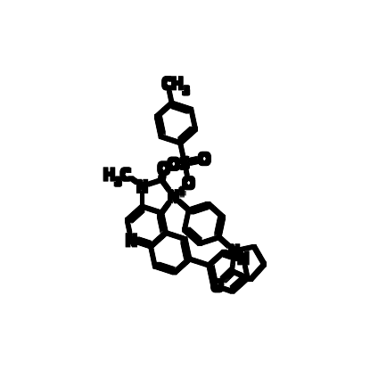 Cc1ccc(S(=O)(=O)O[N+]2(c3ccc(N4CCCC4=O)cc3)C(=O)N(C)c3cnc4ccc(-c5cccnc5)cc4c32)cc1